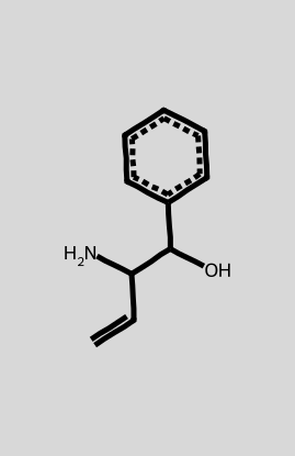 C=CC(N)C(O)c1ccccc1